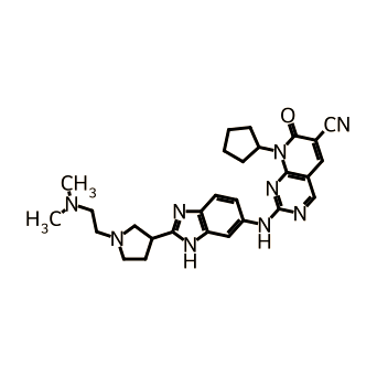 CN(C)CCN1CCC(c2nc3ccc(Nc4ncc5cc(C#N)c(=O)n(C6CCCC6)c5n4)cc3[nH]2)C1